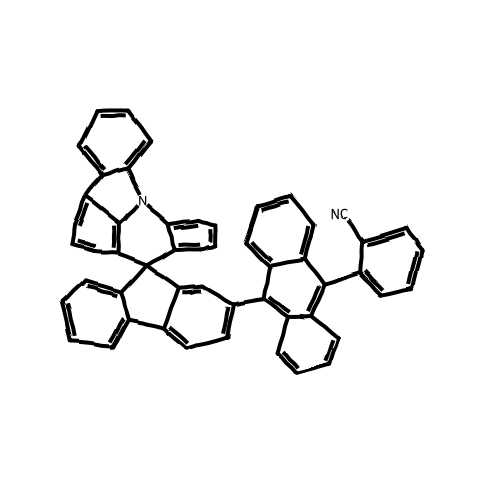 N#Cc1ccccc1-c1c2ccccc2c(-c2ccc3c(c2)C2(c4ccccc4-3)c3ccccc3-n3c4ccccc4c4cccc2c43)c2ccccc12